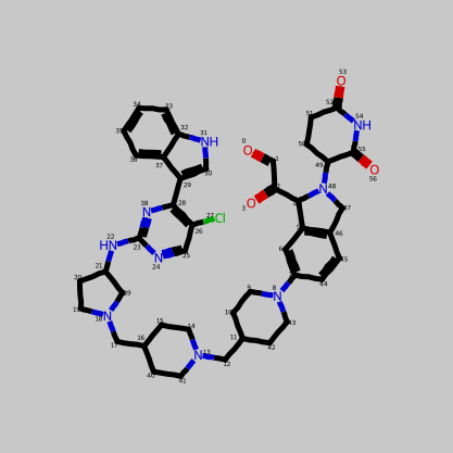 O=CC(=O)C1c2cc(N3CCC(CN4CCC(CN5CCC(Nc6ncc(Cl)c(-c7c[nH]c8ccccc78)n6)C5)CC4)CC3)ccc2CN1C1CCC(=O)NC1=O